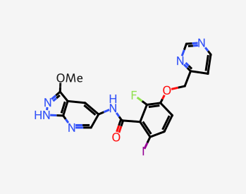 COc1n[nH]c2ncc(NC(=O)c3c(I)ccc(OCc4ccncn4)c3F)cc12